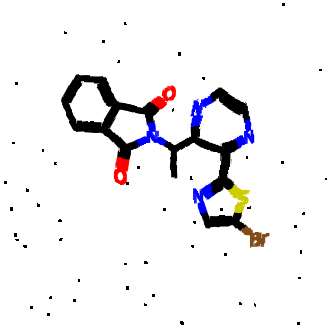 CC(c1nccnc1-c1ncc(Br)s1)N1C(=O)c2ccccc2C1=O